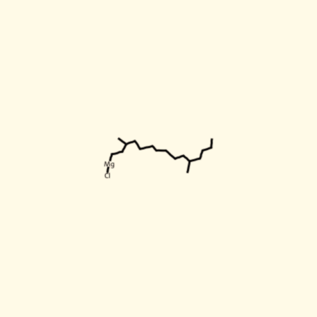 CCCCC(C)CCCCCCCC(C)C[CH2][Mg][Cl]